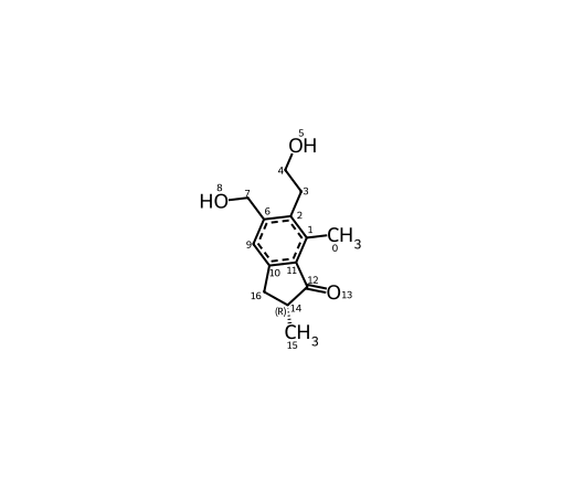 Cc1c(CCO)c(CO)cc2c1C(=O)[C@H](C)C2